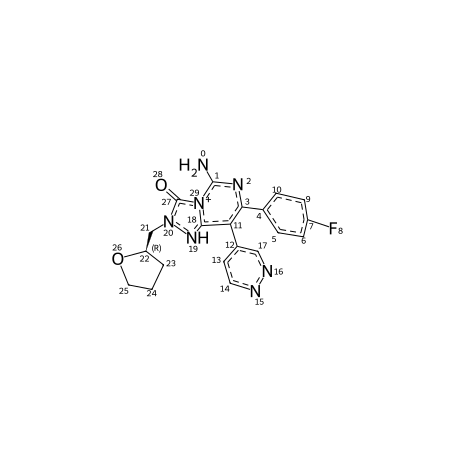 Nc1nc(-c2ccc(F)cc2)c(-c2ccnnc2)c2[nH]n(C[C@H]3CCCO3)c(=O)[n+]12